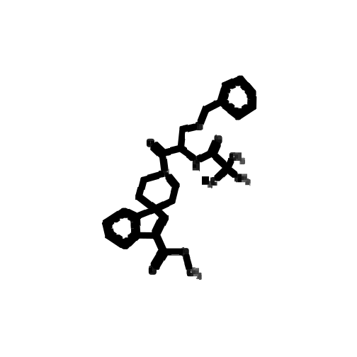 COC(=O)C1=CC2(CCN(C(=O)C(COCc3ccccc3)NC(=O)C(C)(C)N)CC2)c2ccccc21